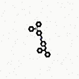 C1=CC(C=C(c2ccccc2)c2ccccc2)CC=C1/C=C/c1ccc(N(c2ccccc2)c2ccccc2)cc1